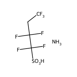 N.O=S(=O)(O)C(F)(F)C(F)(F)CC(F)(F)F